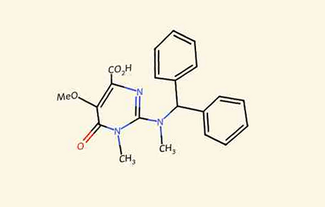 COc1c(C(=O)O)nc(N(C)C(c2ccccc2)c2ccccc2)n(C)c1=O